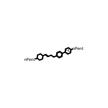 CCCCCC1CCC(C=CCCc2ccc(C34CCC(CCCCC)(CC3)CC4)cc2)CC1